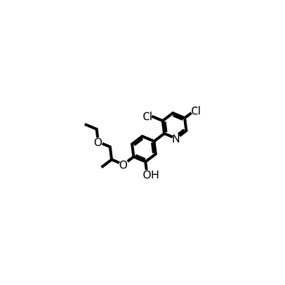 CCOCC(C)Oc1ccc(-c2ncc(Cl)cc2Cl)cc1O